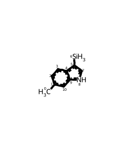 Cc1ccc2c([SiH3])c[nH]c2c1